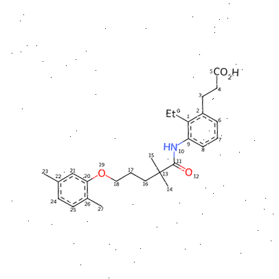 CCc1c(CCC(=O)O)cccc1NC(=O)C(C)(C)CCCOc1cc(C)ccc1C